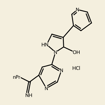 CCCC(=N)c1cc(N2NC=C(c3cccnc3)C2O)ncn1.Cl